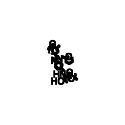 Cc1cc(-c2nc3ccc(CN[C@H](C(=O)OC(C)C)[C@@H](C)O)cc3n2CC2CCCCO2)cn(C)c1=O